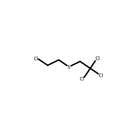 ClCCSCC(Cl)(Cl)Cl